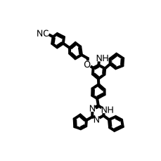 N#Cc1ccc(-c2ccc(COc3cc(-c4ccc(C5=NC(c6ccccc6)=NC(c6ccccc6)N5)cc4)cc(-c4ccccc4)c3N)cc2)cc1